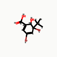 CC(C)(C)C1(Br)C=C(Br)C=C(C(=O)O)C1O